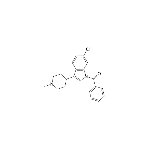 CN1CCC(c2cn(C(=O)c3ccccc3)c3cc(Cl)ccc23)CC1